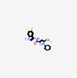 Cc1cc(C(=O)Nc2c[nH]c3cc(F)c(F)cc23)nn1C1CCCCC1